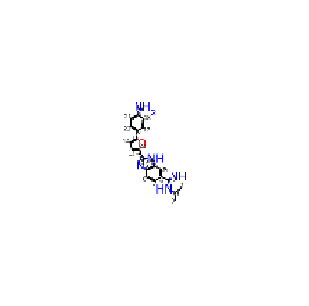 CC(C)NC(=N)c1ccc2nc(-c3ccc(-c4ccc(N)cc4)o3)[nH]c2c1